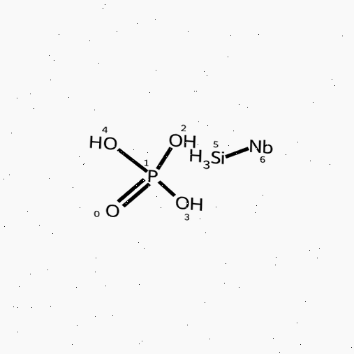 O=P(O)(O)O.[SiH3][Nb]